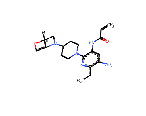 C=CC(=O)Nc1cc(N)c(CC)nc1N1CCC(N2C[C@H]3OC=C32)CC1